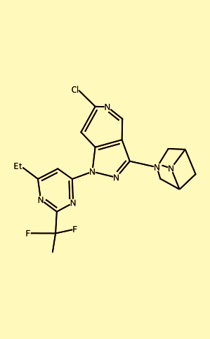 CCc1cc(-n2nc(N3CC4CC(C3)N4C)c3cnc(Cl)cc32)nc(C(C)(F)F)n1